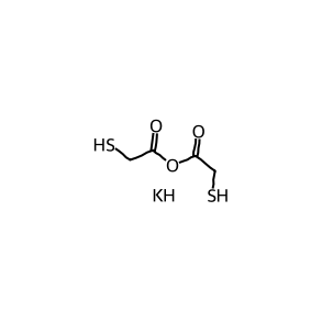 O=C(CS)OC(=O)CS.[KH]